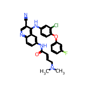 CN(C)CC=CC(=O)Nc1ccc2ncc(C#N)c(Nc3ccc(Oc4cccc(F)c4)c(Cl)c3)c2c1